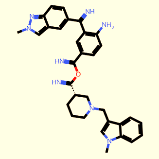 Cn1cc2cc(C(=N)c3cc(C(=N)OC(=N)[C@H]4CCCN(Cc5cn(C)c6ccccc56)C4)ccc3N)ccc2n1